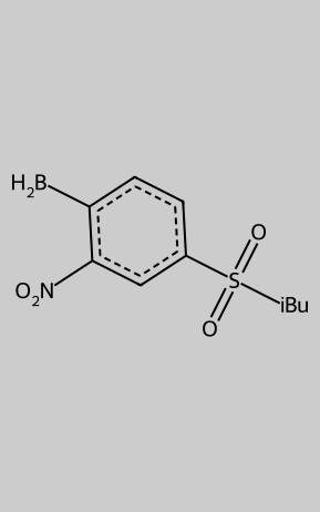 Bc1ccc(S(=O)(=O)C(C)CC)cc1[N+](=O)[O-]